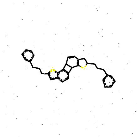 C1=CC2c3c(ccc4cc(CCCc5ccccc5)sc34)C2C2=C1CC(CCCc1ccccc1)S2